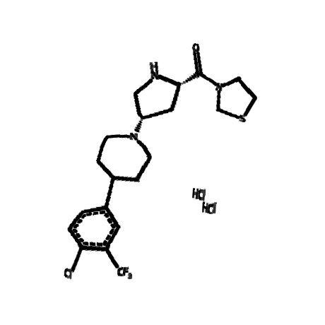 Cl.Cl.O=C([C@@H]1C[C@H](N2CCC(c3ccc(Cl)c(C(F)(F)F)c3)CC2)CN1)N1CCSC1